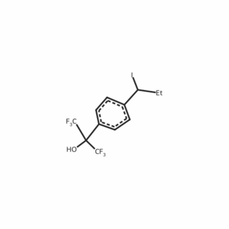 CCC(I)c1ccc(C(O)(C(F)(F)F)C(F)(F)F)cc1